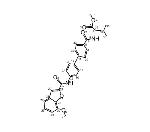 COC(=O)[C@@H](NC(=O)c1ccc(-c2ccc(NC(=O)c3cc4cccc(OC)c4o3)cc2)cc1)C(C)C